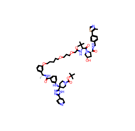 Cc1ncsc1-c1ccc(CNC(=O)[C@@H]2C[C@@H](O)CN2C(=O)[C@@H](NC(=O)COCCCOCCCCCOc2cccc([C@@H](C)NC(=O)c3cccc(NC4(c5nnc(-c6ccncc6)[nH]5)CCN(C(=O)OC(C)(C)C)CC4)c3)c2)C(C)(C)C)cc1